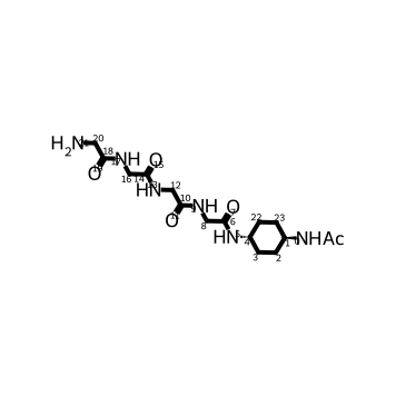 CC(=O)N[C@H]1CC[C@H](NC(=O)CNC(=O)CNC(=O)CNC(=O)CN)CC1